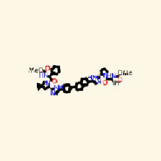 COC(=O)N[C@H](C(=O)N1CCC[C@H]1c1ncc(-c2ccc3cc(-c4ccc(-c5cnc([C@@H]6CC7(CC7)CN6C(=O)[C@H](NC(=O)OC)c6ccccc6)[nH]5)cc4)ccc3c2)[nH]1)C(C)C